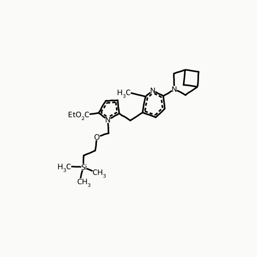 CCOC(=O)c1ccc(Cc2ccc(N3CC4CC(C4)C3)nc2C)n1COCC[Si](C)(C)C